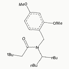 CCCCC(CCCC)N(Cc1ccc(OC)cc1OC)C(=O)CC(C)(C)C